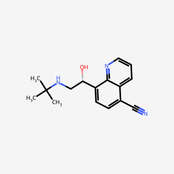 CC(C)(C)NC[C@H](O)c1ccc(C#N)c2cccnc12